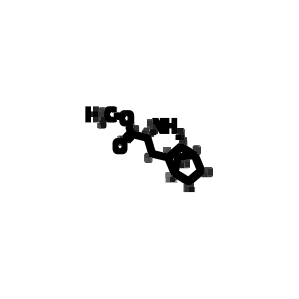 COC(=O)[C@H](N)CC1CC2CCC1C2